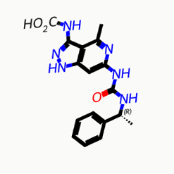 Cc1nc(NC(=O)N[C@H](C)c2ccccc2)cc2[nH]nc(NC(=O)O)c12